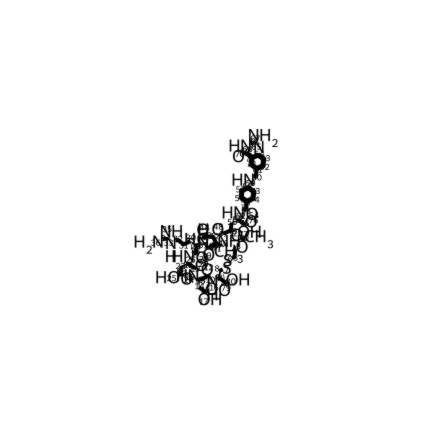 CC(=O)OCCSSC[C@H](NC(=O)[C@H](CC(=O)O)NC(=O)[C@@H](CC(=O)O)NC(=O)[C@H](CCCNC(=N)N)NC(=O)[C@](C)(CC(=O)O)NC(=O)CC[C@H](NC(=O)c1ccc(NCc2ccc3nc(N)[nH]c(=O)c3c2)cc1)C(=O)O)C(=O)O